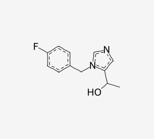 CC(O)c1cncn1Cc1ccc(F)cc1